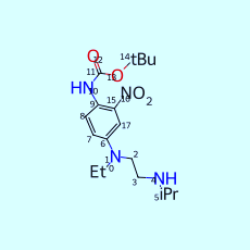 CCN(CCNC(C)C)c1ccc(NC(=O)OC(C)(C)C)c([N+](=O)[O-])c1